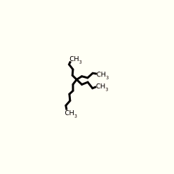 CCCCCCC(CCCC)(CCCC)CCCC